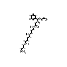 CN(CC(=O)NCCCNCCCCNCCCN)C(SCC=O)c1ccccc1